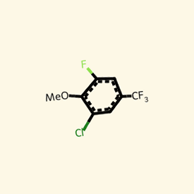 COc1c(F)cc(C(F)(F)F)cc1Cl